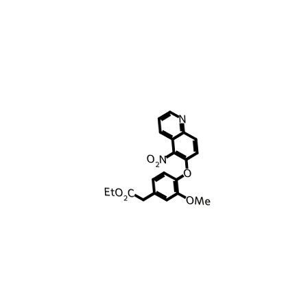 CCOC(=O)Cc1ccc(Oc2ccc3ncccc3c2[N+](=O)[O-])c(OC)c1